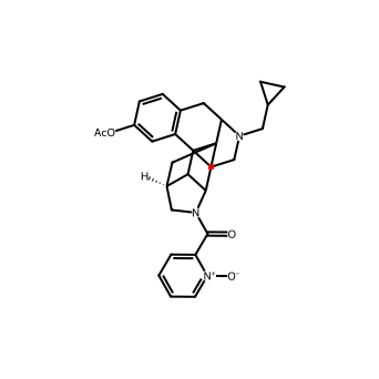 CC(=O)Oc1ccc2c(c1)C13CCN(CC4CC4)C(C2)C12CCC1C3[C@@H](CN1C(=O)c1cccc[n+]1[O-])C2